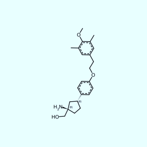 COc1c(C)cc(CCOc2ccc([C@@H]3CC[C@](N)(CO)C3)cc2)cc1C